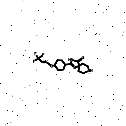 O=C1NC(C2CCC(OCCC(F)(F)F)CC2)=NC12CCNCC2